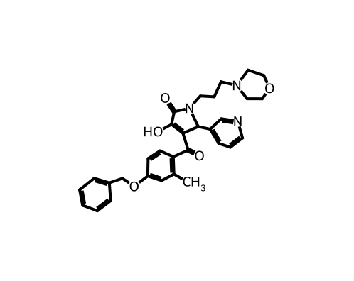 Cc1cc(OCc2ccccc2)ccc1C(=O)C1=C(O)C(=O)N(CCCN2CCOCC2)C1c1cccnc1